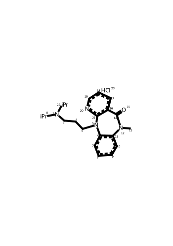 CC(C)N(CCCN1c2ccccc2N(C)C(=O)c2cccnc21)C(C)C.Cl